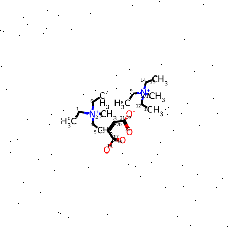 CC[N+](C)(CC)CC.CC[N+](C)(CC)CC.O=C([O-])/C=C\C(=O)[O-]